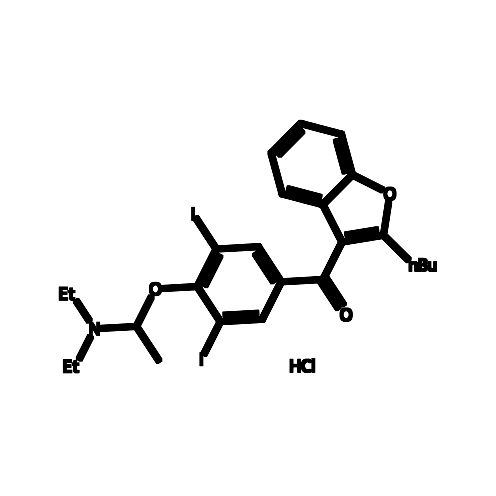 CCCCc1oc2ccccc2c1C(=O)c1cc(I)c(OC(C)N(CC)CC)c(I)c1.Cl